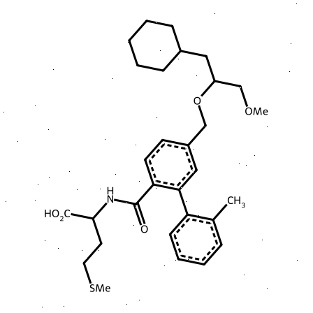 COCC(CC1CCCCC1)OCc1ccc(C(=O)NC(CCSC)C(=O)O)c(-c2ccccc2C)c1